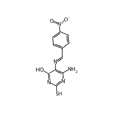 Nc1nc(S)nc(O)c1/N=C/c1ccc([N+](=O)[O-])cc1